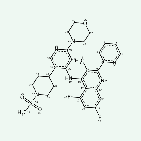 Cc1c(-c2ccccn2)nc2cc(F)cc(F)c2c1Nc1cc(N2CCOCC2)ncc1C1CCN(S(C)(=O)=O)CC1